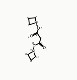 O=C(CC(=O)ON1CCC1)ON1CCC1